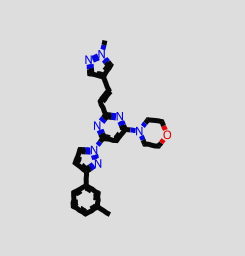 Cc1cccc(-c2ccn(-c3cc(N4CCOCC4)nc(C=Cc4cnn(C)c4)n3)n2)c1